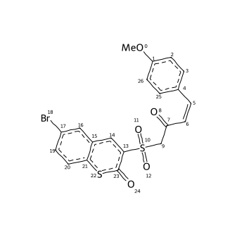 COc1ccc(/C=C\C(=O)CS(=O)(=O)c2cc3cc(Br)ccc3sc2=O)cc1